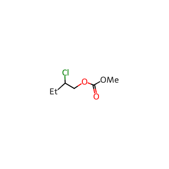 CCC(Cl)COC(=O)OC